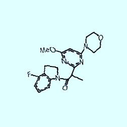 COc1cc(N2CCOCC2)nc(C(C)C(=O)N2CCc3c(F)cccc32)n1